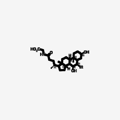 CC[C@@H]1C2C[C@H](O)CC[C@@]2(C)[C@H]2CCC3(C)C([C@H](C)CCC(=O)NCC(=O)O)CC[C@H]3C2[C@@H]1O